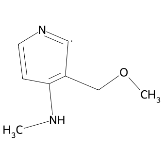 CNc1ccn[c]c1COC